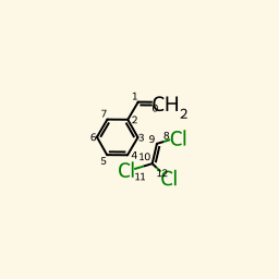 C=Cc1ccccc1.ClC=C(Cl)Cl